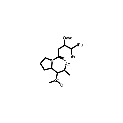 CCC(C)C(C(C)C)C(CC(=O)N1CCCC1C(C(C)C(C)=O)[S+](C)[O-])OC